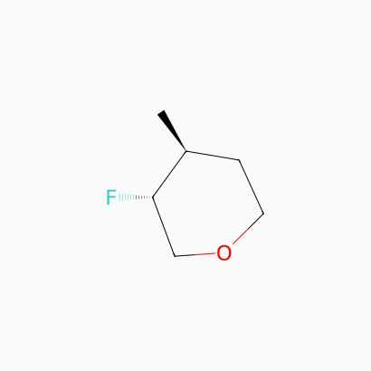 C[C@H]1CCOC[C@@H]1F